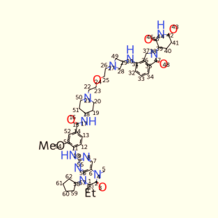 CC[C@@H]1C(=O)N(C)c2cnc(Nc3ccc(C(=O)NC4CCN(CCOCCN5CC(Nc6cccc7c6CN(C6CCC(=O)NC6=O)C7=O)C5)CC4)cc3OC)nc2N1C1CCCC1